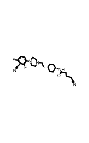 N#CCCCC(=O)N[C@H]1CC[C@H](CCN2CCN(c3ccc(F)c(C#N)c3F)CC2)CC1